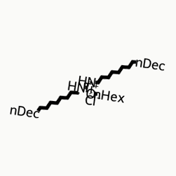 CCCCCCCCCCCCCCCCCC[NH][Ti+]([NH]CCCCCCCCCCCCCCCCCC)[O]CCCCCC.[Cl-]